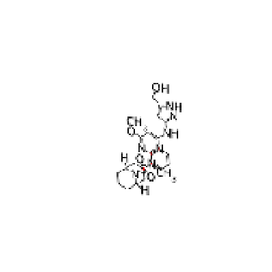 COc1cc(Nc2cc(CO)[nH]n2)nc(N(C)[C@H]2C[C@H]3CCC[C@@H](C2)N3S(=O)(=O)c2cccnc2)n1